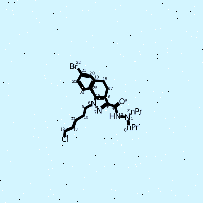 CCCN(CCC)NC(=O)c1nn(CCCCCCl)c2c1CCc1cc(Br)ccc1-2